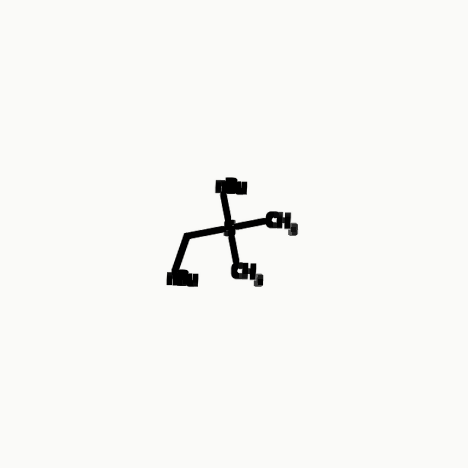 CCCCCS(C)(C)CCCC